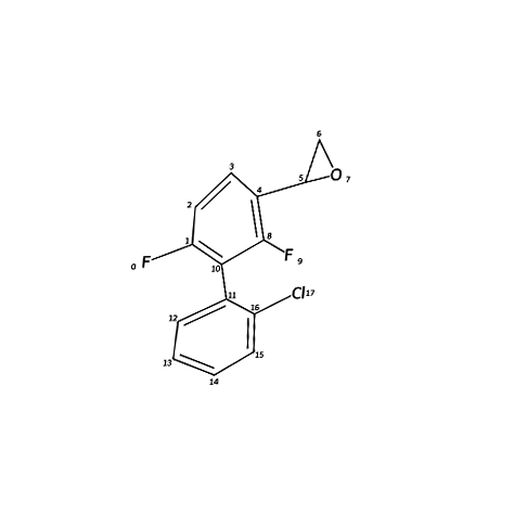 Fc1ccc(C2CO2)c(F)c1-c1ccccc1Cl